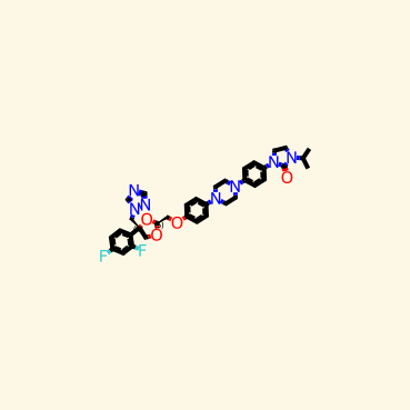 CC(C)N1CCN(c2ccc(N3CCN(c4ccc(OC[C@H]5OC[C@](Cn6cncn6)(c6ccc(F)cc6F)O5)cc4)CC3)cc2)C1=O